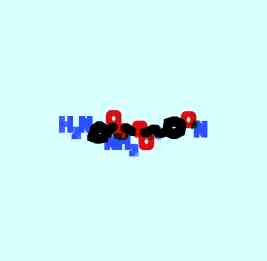 N#COc1ccc(/C=C/C(=O)OCCOC(=O)c2cc(N)ccc2N)cc1